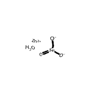 O.O=[Se]([O-])[O-].[Zn+2]